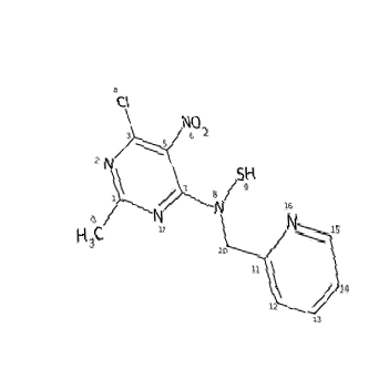 Cc1nc(Cl)c([N+](=O)[O-])c(N(S)Cc2ccccn2)n1